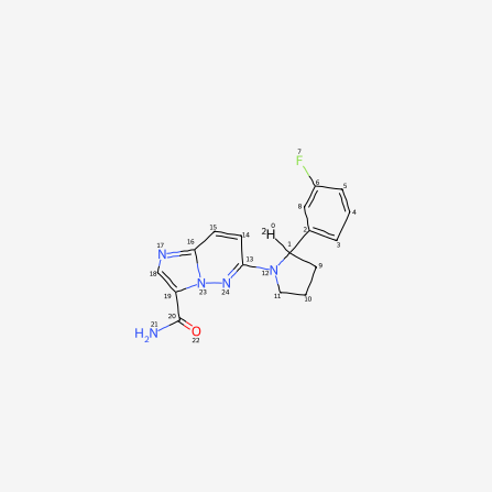 [2H]C1(c2cccc(F)c2)CCCN1c1ccc2ncc(C(N)=O)n2n1